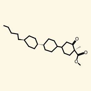 CCCCC[C@H]1CC[C@H](C2CCC(C3CC[C@](C)(C(=O)OC)C(=O)C3)CC2)CC1